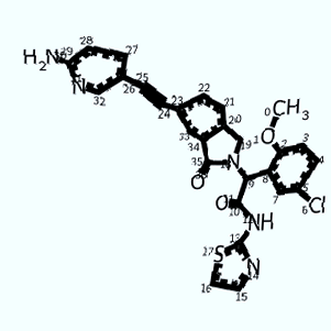 COc1ccc(Cl)cc1C(C(=O)Nc1nccs1)N1Cc2ccc(C#Cc3ccc(N)nc3)cc2C1=O